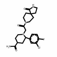 NC(=O)C1CCN(CC(=O)N2CCC3(CCNC3=O)CC2)C(c2ccc(F)c(Cl)c2)C1